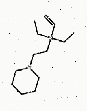 C=C[Si](CC)(CC)CCN1CCCCC1